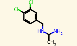 CC(N)NCc1ccc(Cl)c(Cl)c1